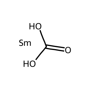 O=C(O)O.[Sm]